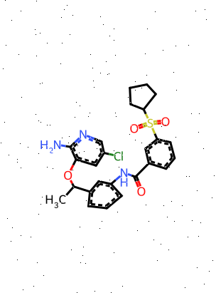 CC(Oc1cc(Cl)cnc1N)c1cccc(NC(=O)c2cccc(S(=O)(=O)C3CCCC3)c2)c1